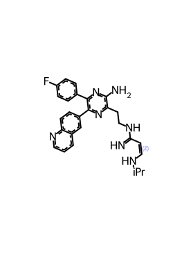 CC(C)N/C=C\C(=N)NCCc1nc(-c2ccc3ncccc3c2)c(-c2ccc(F)cc2)nc1N